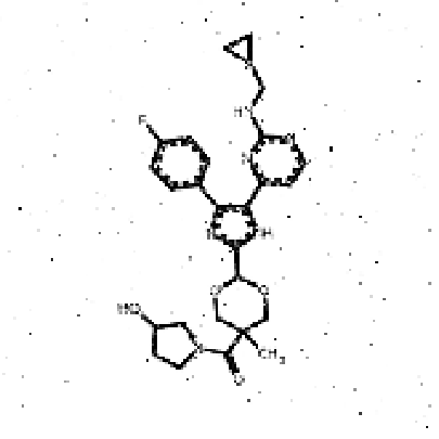 CC1(C(=O)N2CCC(O)C2)COC(c2nc(-c3ccc(F)cc3)c(-c3ccnc(NCC4CC4)n3)[nH]2)OC1